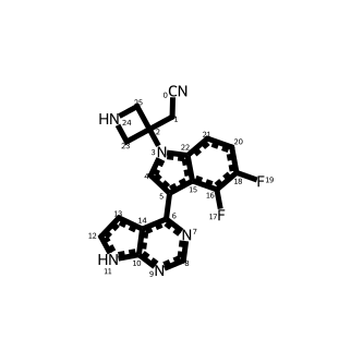 N#CCC1(n2cc(-c3ncnc4[nH]ccc34)c3c(F)c(F)ccc32)CNC1